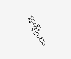 CC[C@H]1C(=O)N(Cc2ccc3c(N)ncnc3c2)CCN1C(=O)COc1csc(Cl)c1